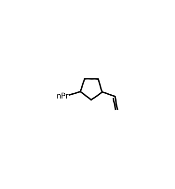 C=CC1CCC(CCC)C1